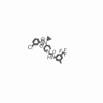 Cc1cc(NC(=O)CN2CCC(N(C3CC3)S(=O)(=O)c3cccc(Cl)c3)CC2)cc(C(F)(F)F)c1